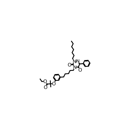 CCCCCCCn1nc(-c2ccccc2)c(=O)n(CCCCCc2cccc(OC(C)(C)C(=O)OCC)c2)c1=O